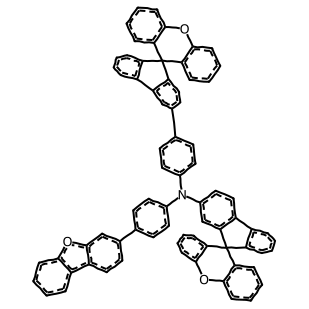 c1ccc2c(c1)Oc1ccccc1C21c2ccccc2-c2cc(-c3ccc(N(c4ccc(-c5ccc6c(c5)oc5ccccc56)cc4)c4ccc5c(c4)C4(c6ccccc6Oc6ccccc64)c4ccccc4-5)cc3)ccc21